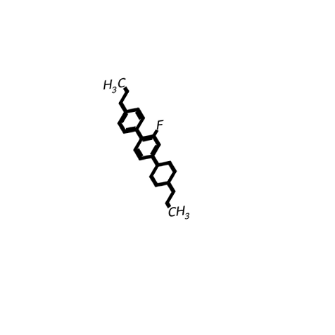 CCCc1ccc(-c2ccc(C3CCC(CCC)CC3)cc2F)cc1